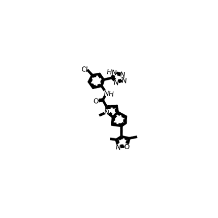 Cc1noc(C)c1-c1ccc2cc(C(=O)Nc3ccc(Cl)cc3-c3nnn[nH]3)n(C)c2c1